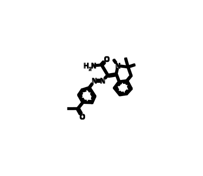 CC(=O)c1ccc(N=NC(C(N)=O)=C2c3ccccc3CC(C)(C)N2C)cc1